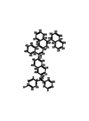 Cc1ccc(N(c2ccccc2)c2ccc3cc(-c4cc5cc(-c6cccc7ccccc67)c6ccccc6c5c5ccccc45)ccc3c2)cc1